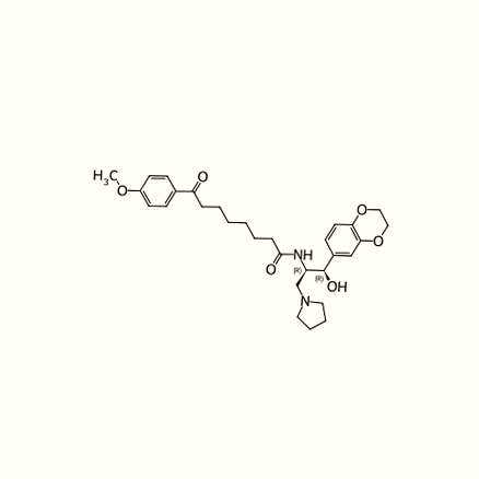 COc1ccc(C(=O)CCCCCCC(=O)N[C@H](CN2CCCC2)[C@H](O)c2ccc3c(c2)OCCO3)cc1